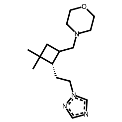 CC1(C)CC(CN2CCOCC2)[C@@H]1CCn1cncn1